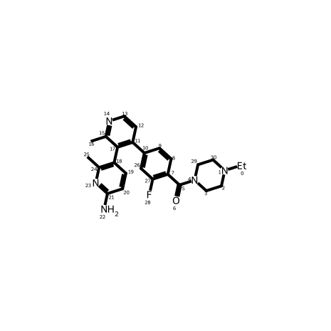 CCN1CCN(C(=O)c2ccc(-c3ccnc(C)c3-c3ccc(N)nc3C)cc2F)CC1